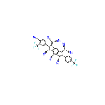 N#CC(C#N)=C1C(c2ccc(C(F)(F)F)cc2)=C(C#N)c2c1cc1c(c2C#N)C(C#N)=C(c2ccc(C#N)c(C(F)(F)F)c2)C1=C(C#N)C#N